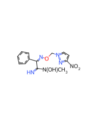 CN(O)C(=N)/C(=N\OCn1ccc([N+](=O)[O-])n1)c1ccccc1